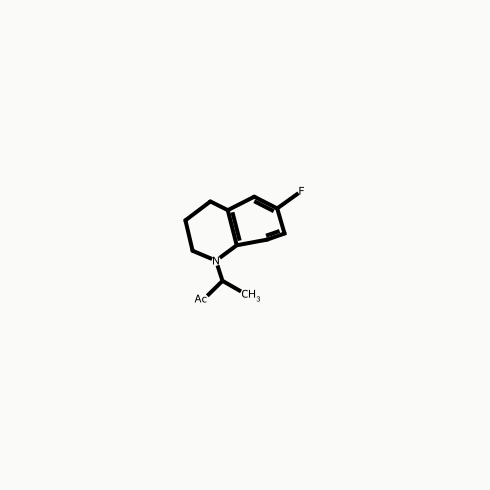 CC(=O)C(C)N1CCCc2cc(F)ccc21